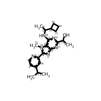 CC(C)c1ccnc(-c2nc3nc(C(C)O)nc(NC(C)C4CCC4)c3n2C)c1